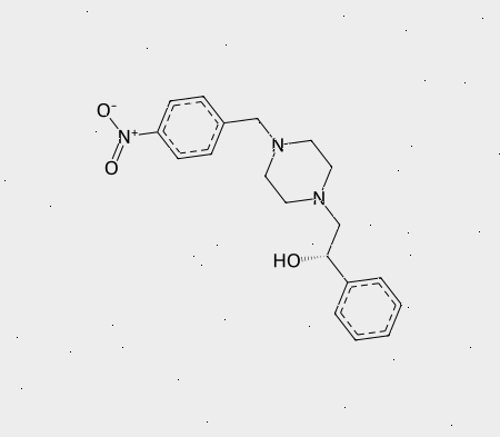 O=[N+]([O-])c1ccc(CN2CCN(C[C@@H](O)c3ccccc3)CC2)cc1